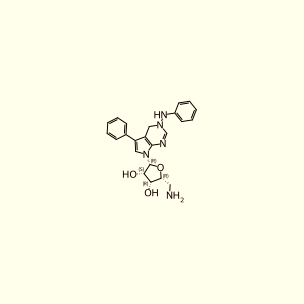 NC[C@H]1O[C@@H](n2cc(-c3ccccc3)c3c2N=CN(Nc2ccccc2)C3)[C@@H](O)[C@H]1O